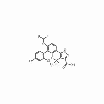 CC1(C)Oc2c(ccc(OC(F)F)c2-c2ccc(Cl)cc2Cl)-c2[nH]nc(C(=O)O)c21